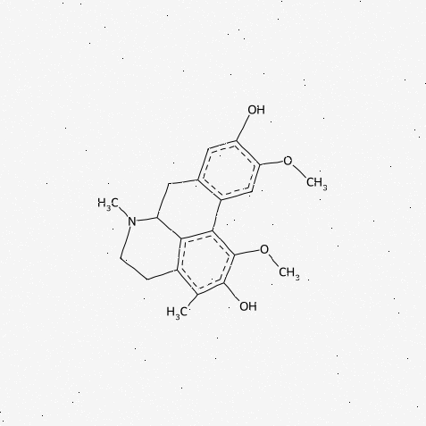 COc1cc2c(cc1O)CC1c3c(c(C)c(O)c(OC)c3-2)CCN1C